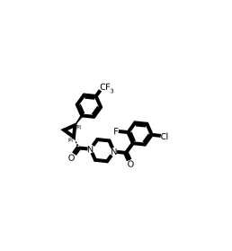 O=C(c1cc(Cl)ccc1F)N1CCN(C(=O)[C@@H]2C[C@H]2c2ccc(C(F)(F)F)cc2)CC1